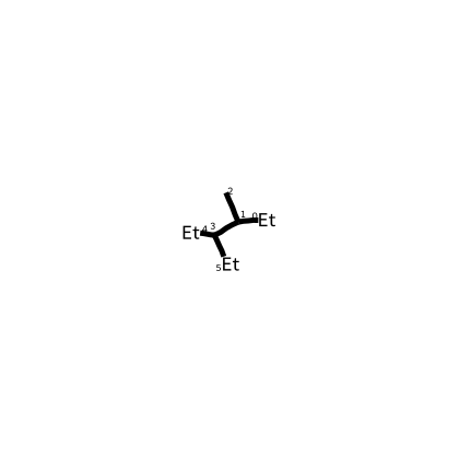 [CH2]CC(C)C(C[CH2])CC